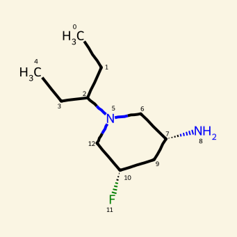 CCC(CC)N1C[C@H](N)C[C@H](F)C1